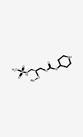 CC[C@H](C)O[C@@H](CNS(C)(=O)=O)COC(=O)OC1CCNCC1